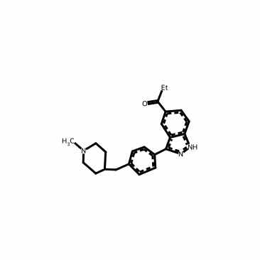 CCC(=O)c1ccc2[nH]nc(-c3ccc(CC4CCN(C)CC4)cc3)c2c1